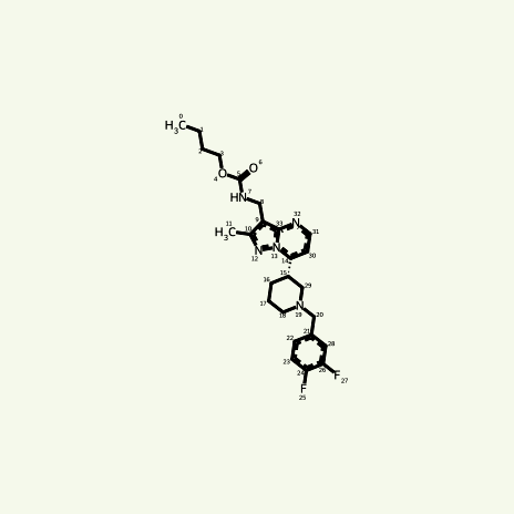 CCCCOC(=O)NCc1c(C)nn2c([C@H]3CCCN(Cc4ccc(F)c(F)c4)C3)ccnc12